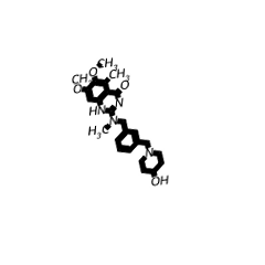 COc1cc2[nH]c(N(C)Cc3cccc(CN4CCC(O)CC4)c3)nc(=O)c2c(C)c1OC